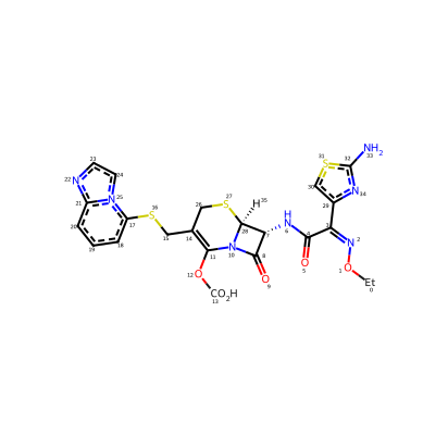 CCO/N=C(\C(=O)N[C@@H]1C(=O)N2C(OC(=O)O)=C(CSc3cccc4nccn34)CS[C@@H]12)c1csc(N)n1